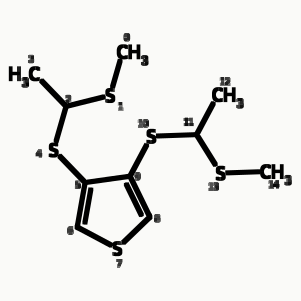 CSC(C)Sc1cscc1SC(C)SC